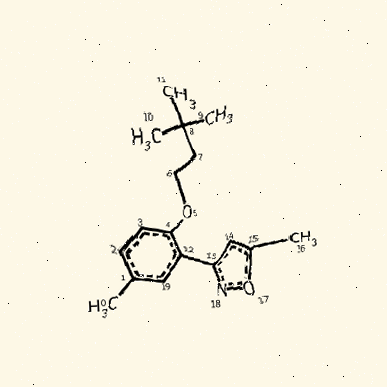 Cc1ccc(OCCC(C)(C)C)c(-c2cc(C)on2)c1